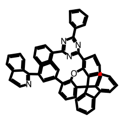 c1ccc(-c2nc(-c3ccccc3)nc(-c3cccc4c3Oc3c(-c5cccc(-c6nccc7ccccc67)c5)cccc3C43c4ccccc4-c4ccccc43)n2)cc1